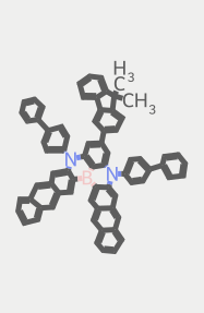 CC1(C)c2ccccc2-c2cc(-c3cc4c5c(c3)N(c3ccc(-c6ccccc6)cc3)c3cc6cc7ccccc7cc6cc3B5c3cc5cc6ccccc6cc5cc3N4c3ccc(-c4ccccc4)cc3)ccc21